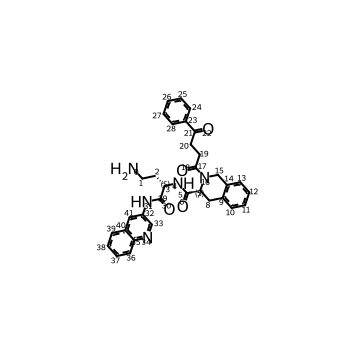 NCC[C@H](NC(=O)[C@@H]1Cc2ccccc2CN1C(=O)CCC(=O)c1ccccc1)C(=O)Nc1cnc2ccccc2c1